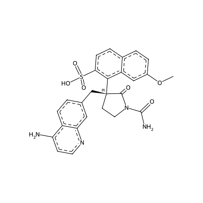 COc1ccc2ccc(S(=O)(=O)O)c([C@@]3(Cc4ccc5c(N)ccnc5c4)CCN(C(N)=O)C3=O)c2c1